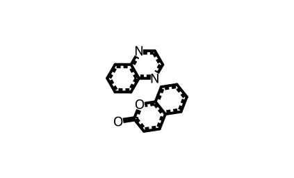 O=c1ccc2ccccc2o1.c1ccc2nccnc2c1